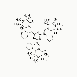 CN1C(C)(C)CN(CC(c2nc(N(CN3CC(C)(C)N(C)C(C)(C)C3=O)C3CCCCC3)nc(N(CN3CC(C)(C)N(C)C(C)(C)C3=O)C3CCCCC3)n2)C2CCCCC2)C(=O)C1(C)C